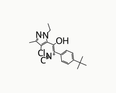 [C-]#[N+]C(=C(O)c1c(Cl)c(C)nn1CC)c1ccc(C(C)(C)C)cc1